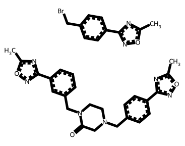 Cc1nc(-c2ccc(CBr)cc2)no1.Cc1nc(-c2ccc(CN3CCN(Cc4cccc(-c5noc(C)n5)c4)C(=O)C3)cc2)no1